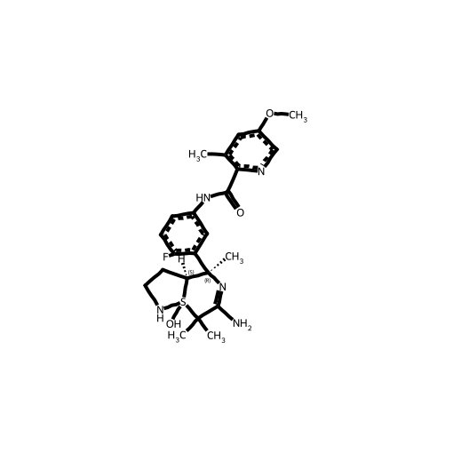 COc1cnc(C(=O)Nc2ccc(F)c([C@@]3(C)N=C(N)C(C)(C)S4(O)NCC[C@@H]34)c2)c(C)c1